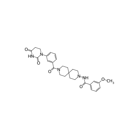 COc1cccc(C(=O)NN2CCC3(CC2)CCN(C(=O)c2cccc(N4CCC(=O)NC4=O)c2)CC3)c1